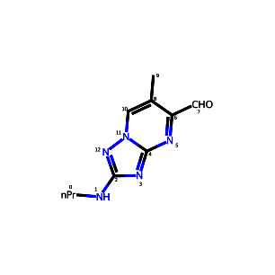 CCCNc1nc2nc(C=O)c(C)cn2n1